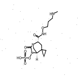 CNCCCONC(=O)[C@@H]1CC2(CC2)[C@@H]2CN1C(=O)N2OS(=O)(=O)O